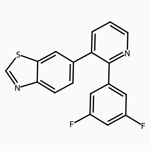 Fc1cc(F)cc(-c2ncccc2-c2ccc3ncsc3c2)c1